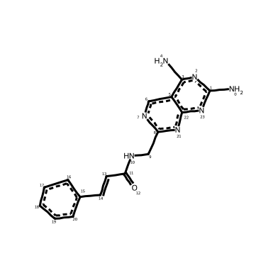 Nc1nc(N)c2cnc(CNC(=O)/C=C/c3ccccc3)nc2n1